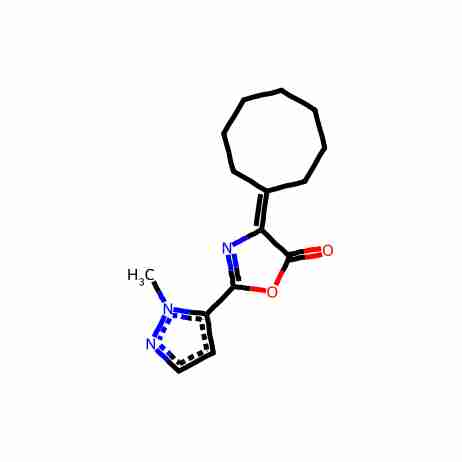 Cn1nccc1C1=NC(=C2CCCCCCC2)C(=O)O1